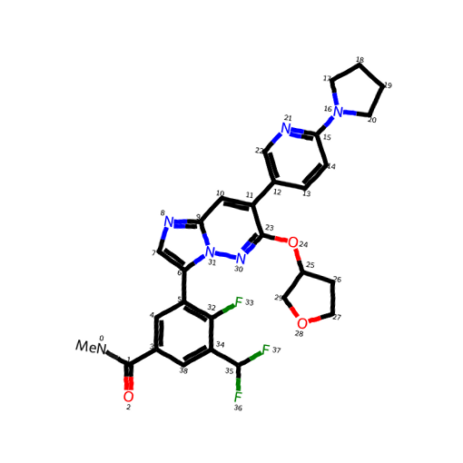 CNC(=O)c1cc(-c2cnc3cc(-c4ccc(N5CCCC5)nc4)c(OC4CCOC4)nn23)c(F)c(C(F)F)c1